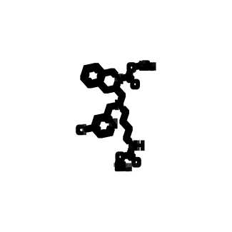 CC(C)(C)OC(=O)NCCCCN(Cc1cc(Cl)ccn1)CC1Cc2ccccc2CN1C(=O)OC(C)(C)C